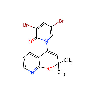 CC1(C)C=C(n2cc(Br)cc(Br)c2=O)c2cccnc2O1